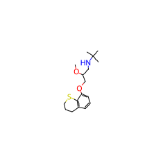 COC(CNC(C)(C)C)COc1cccc2c1SCCC2